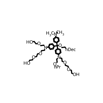 CCCCCCCCCCCCOC(c1ccc(N(C)C)cc1)(c1ccc(N(CCOCCC)CCOCCOCCO)cc1)c1ccc(N(CCOCCO)CCOCCOCCO)cc1